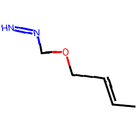 CC=CCOCN=N